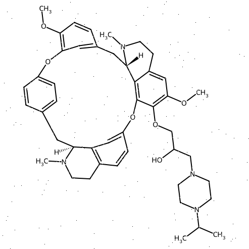 COc1ccc2cc1Oc1ccc(cc1)C[C@H]1c3cc(ccc3CCN1C)Oc1c(OCC(O)CN3CCN(C(C)C)CC3)c(OC)cc3c1[C@H](C2)N(C)CC3